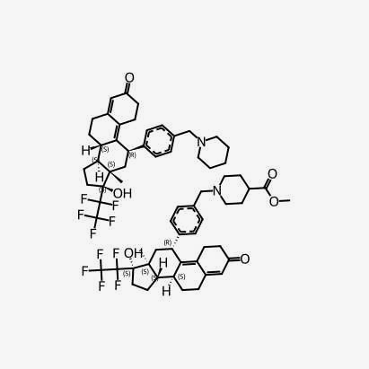 COC(=O)C1CCN(Cc2ccc([C@H]3C[C@@]4(C)[C@@H](CC[C@@]4(O)C(F)(F)C(F)(F)F)[C@@H]4CCC5=CC(=O)CCC5=C43)cc2)CC1.C[C@]12C[C@H](c3ccc(CN4CCCCC4)cc3)C3=C4CCC(=O)C=C4CC[C@H]3[C@@H]1CC[C@@]2(O)C(F)(F)C(F)(F)F